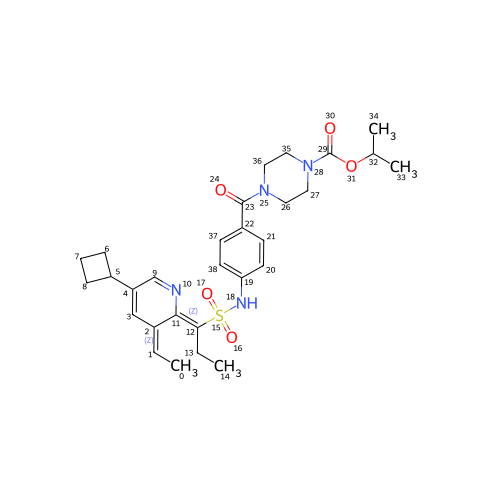 C/C=c1/cc(C2CCC2)cn/c1=C(/CC)S(=O)(=O)Nc1ccc(C(=O)N2CCN(C(=O)OC(C)C)CC2)cc1